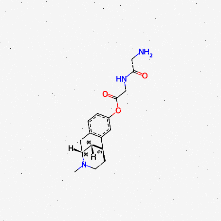 CN1CC[C@]23CCCC[C@H]2[C@H]1Cc1ccc(OC(=O)CNC(=O)CN)cc13